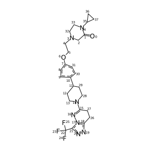 O=C1CN(CCOc2ccc(C3CCN(C4=Nn5c(nnc5C(F)(F)F)CC4)CC3)cc2)CCN1C1CC1